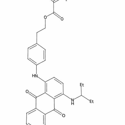 C=C(C)C(=O)OCCc1ccc(Nc2ccc(NC(CC)CC)c3c2C(=O)c2ccccc2C3=O)cc1